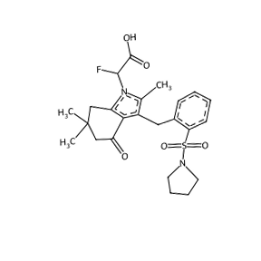 Cc1c(Cc2ccccc2S(=O)(=O)N2CCCC2)c2c(n1C(F)C(=O)O)CC(C)(C)CC2=O